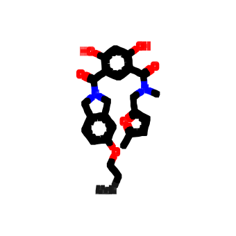 CNCCOc1ccc2c(c1)CN(C(=O)c1cc(C(=O)N(C)Cc3ccc(C)o3)c(O)cc1O)C2